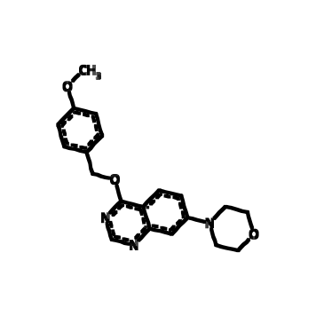 COc1ccc(COc2ncnc3cc(N4CCOCC4)ccc23)cc1